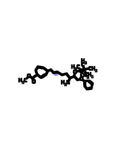 COC(=O)C1C=CC(C/C=C/CCC(N)C(COc2ccccc2)O[Si](C)(C)C(C)(C)C)C=CC1